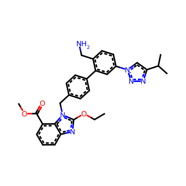 CCOc1nc2cccc(C(=O)OC)c2n1Cc1ccc(-c2cc(-n3cc(C(C)C)nn3)ccc2CN)cc1